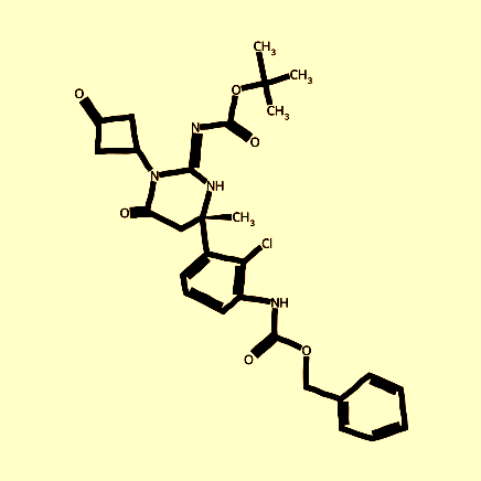 CC(C)(C)OC(=O)/N=C1\N[C@](C)(c2cccc(NC(=O)OCc3ccccc3)c2Cl)CC(=O)N1C1CC(=O)C1